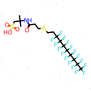 CC(C)(CS(=O)(=O)O)NC(=O)CCSCCC(F)(F)C(F)(F)C(F)(F)C(F)(F)C(F)(F)C(F)(F)C(F)(F)C(F)(F)F